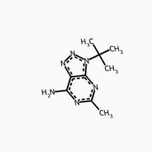 Cc1nc(N)c2nnn(C(C)(C)C)c2n1